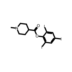 CN1CCC(C(=O)Oc2c(I)cc(I)cc2I)CC1